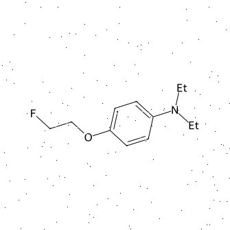 CCN(CC)c1ccc(OCCF)cc1